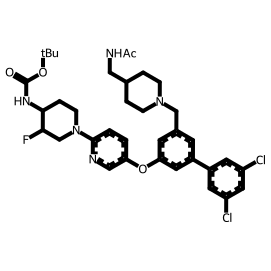 CC(=O)NCC1CCN(Cc2cc(Oc3ccc(N4CCC(NC(=O)OC(C)(C)C)C(F)C4)nc3)cc(-c3cc(Cl)cc(Cl)c3)c2)CC1